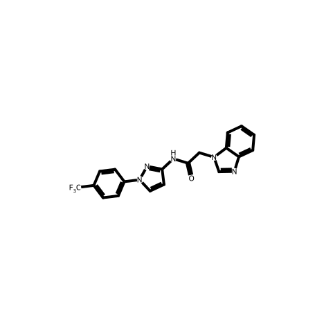 O=C(Cn1cnc2ccccc21)Nc1ccn(-c2ccc(C(F)(F)F)cc2)n1